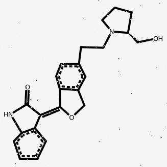 O=C1Nc2ccccc2C1=C1OCc2cc(CCN3CCC[C@H]3CO)ccc21